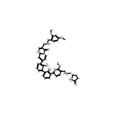 COc1ccc(CNCc2cnc3cc(-c4cccc(-c5cccc(-c6ccc(CNC[C@@H]7CCC(=O)N7)c(OC)n6)c5Cl)c4Cl)ccn3c2=O)c(OC)c1